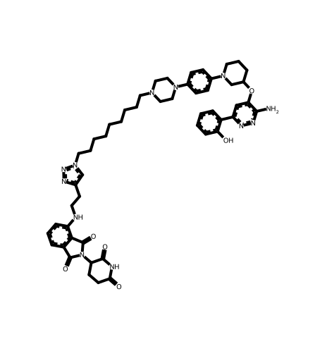 Nc1nnc(-c2ccccc2O)cc1OC1CCCN(c2ccc(N3CCN(CCCCCCCCCn4cc(CCNc5cccc6c5C(=O)N(C5CCC(=O)NC5=O)C6=O)nn4)CC3)cc2)C1